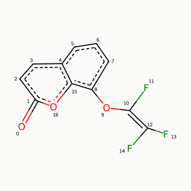 O=c1ccc2cccc(OC(F)=C(F)F)c2o1